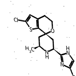 CCc1c[nH]c([C@@H]2C[C@]3(C[C@H](C)N2)OCCc2cc(Cl)sc23)n1